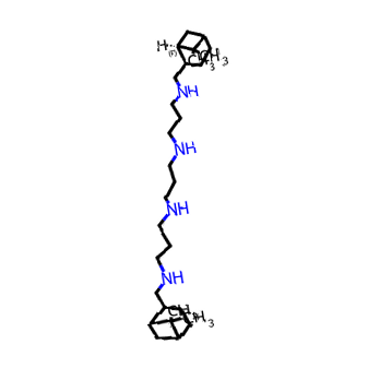 CC1(C)C2CCC(CNCCCNCCCNCCCNCC3CCC4C[C@H]3C4(C)C)C1C2